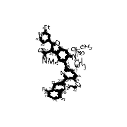 CCc1cc(-c2oc3cc(N(C)S(C)(=O)=O)c(-c4ccc5c(n4)-c4cc6c(F)cccc6n4CO5)cc3c2C(=O)NC)ccn1